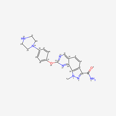 Cn1nc(C(N)=O)c2ccc3cnc(Oc4ccc(N5CCNCC5)cc4)nc3c21